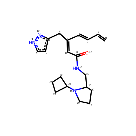 C=CC=CC([CH]c1cc[nH]n1)=CC(=O)NCC1CCCN1C1CCC1